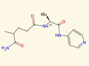 CC(C[CH]C(=O)N[C@H](C(=O)Nc1ccncc1)C(C)(C)C)C(N)=O